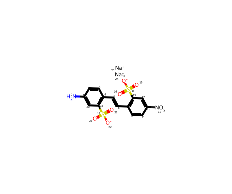 Nc1ccc(/C=C/c2ccc([N+](=O)[O-])cc2S(=O)(=O)[O-])c(S(=O)(=O)[O-])c1.[Na+].[Na+]